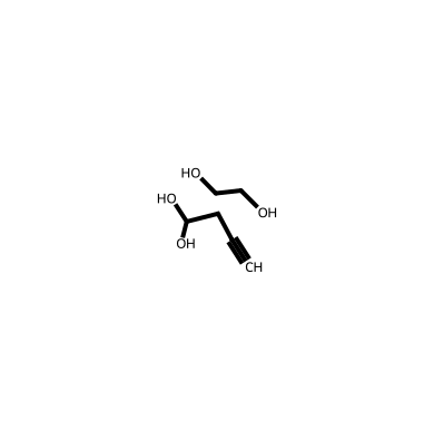 C#CCC(O)O.OCCO